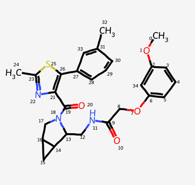 COc1cccc(OCC(=O)NCC2C3CC3CN2C(=O)c2nc(C)sc2-c2cccc(C)c2)c1